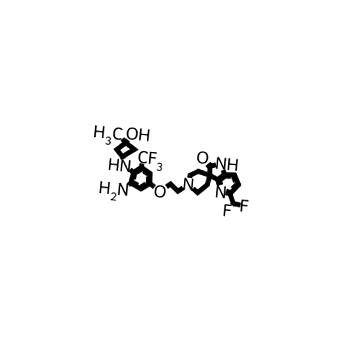 CC1(O)CC(Nc2c(N)cc(OCCN3CCC4(CC3)C(=O)Nc3ccc(C(F)F)nc34)cc2C(F)(F)F)C1